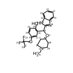 CN1CCC(OC(c2nc3ccccc3[nH]2)c2cc(OC(F)(F)F)ccc2O)CC1